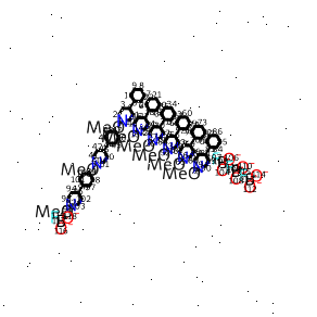 CO[n+]1ccc(-c2ccccc2)cc1.CO[n+]1ccc(-c2ccccc2)cc1.CO[n+]1ccc(-c2ccccc2)cc1.CO[n+]1ccc(-c2ccccc2)cc1.CO[n+]1ccc(-c2ccccc2)cc1.CO[n+]1ccc(-c2ccccc2)cc1.CO[n+]1ccc(-c2ccccc2)cc1.CO[n+]1ccc(-c2ccccc2)cc1.[O-]B([O-])F.[O-]B([O-])F.[O-]B([O-])F.[O-]B([O-])F